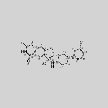 Cc1nc2cc(F)c(S(=O)(=O)NC3CCN(c4cccc(F)c4)CC3)cc2c(=O)[nH]1